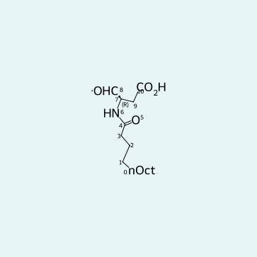 CCCCCCCCCCCC(=O)N[C@@H]([C]=O)CC(=O)O